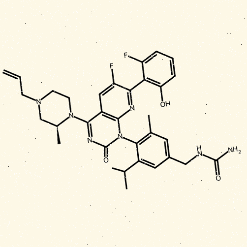 C=CCN1CCN(c2nc(=O)n(-c3c(C)cc(CNC(N)=O)cc3C(C)C)c3nc(-c4c(O)cccc4F)c(F)cc23)[C@@H](C)C1